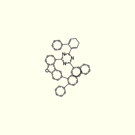 C1=C(c2ccccc2)C(c2nc(-c3ccccc3)nc(-c3cccc4oc5ccc(-c6cc(-c7ccccc7)ccc6-c6ccccc6)cc5c34)n2)=CCC1